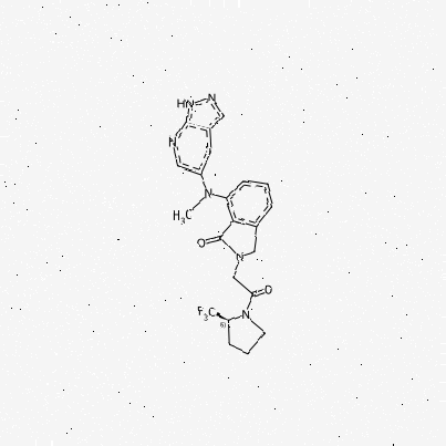 CN(c1cnc2[nH]ncc2c1)c1cccc2c1C(=O)N(CC(=O)N1CCC[C@H]1C(F)(F)F)C2